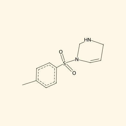 Cc1ccc(S(=O)(=O)N2C=CCNC2)cc1